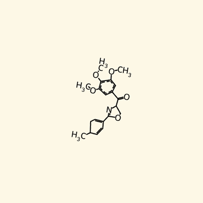 COc1cc(C(=O)C2COC(C3=CCC(C)C=C3)=N2)cc(OC)c1OC